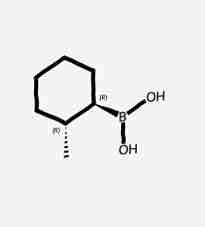 C[C@@H]1CCCC[C@H]1B(O)O